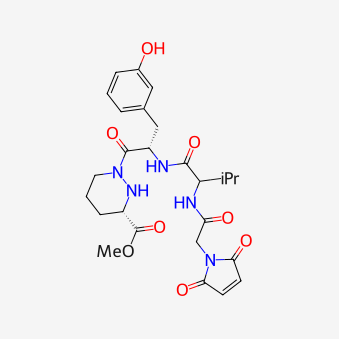 COC(=O)[C@@H]1CCCN(C(=O)[C@H](Cc2cccc(O)c2)NC(=O)C(NC(=O)CN2C(=O)C=CC2=O)C(C)C)N1